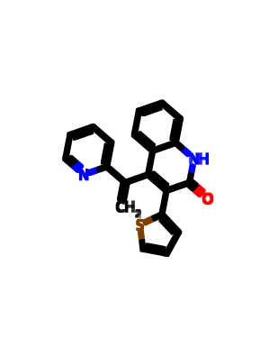 C=C(c1ccccn1)c1c(-c2cccs2)c(=O)[nH]c2ccccc12